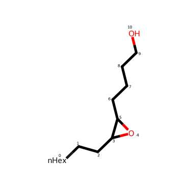 CCCCCCCCC1OC1CCCCO